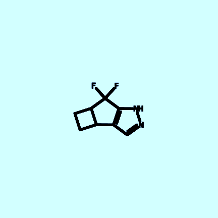 FC1(F)c2[nH]ncc2C2CCC21